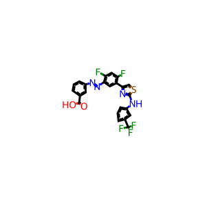 O=C(O)c1cccc(N=Nc2cc(-c3csc(Nc4cccc(C(F)(F)F)c4)n3)c(F)cc2F)c1